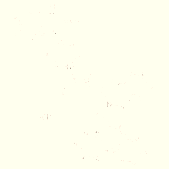 C[C@@H](COC(=O)N1CCC(n2c(=O)[nH]c3ccccc32)CC1)N(Cc1ccccc1)Cc1cc2ccccc2c2ccccc12.Cl